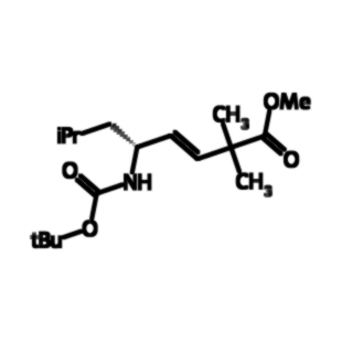 COC(=O)C(C)(C)/C=C/[C@@H](CC(C)C)NC(=O)OC(C)(C)C